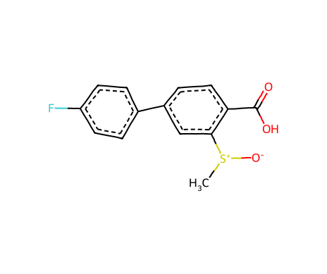 C[S+]([O-])c1cc(-c2ccc(F)cc2)ccc1C(=O)O